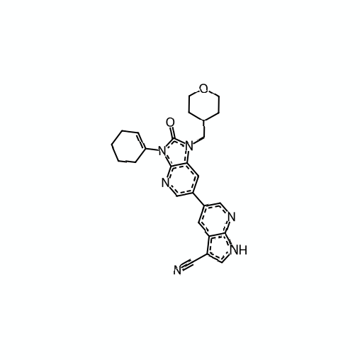 N#Cc1c[nH]c2ncc(-c3cnc4c(c3)n(CC3CCOCC3)c(=O)n4C3=CCCCC3)cc12